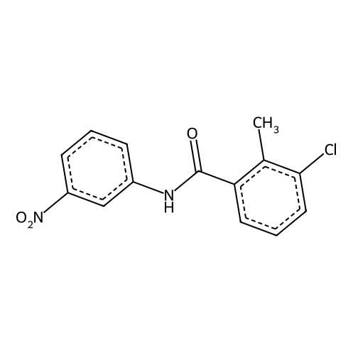 Cc1c(Cl)cccc1C(=O)Nc1cccc([N+](=O)[O-])c1